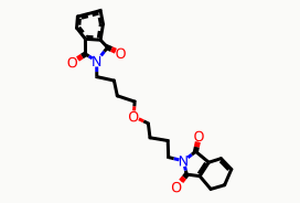 O=C1C2=C(CCC=C2)C(=O)N1CCCCOCCCCN1C(=O)c2ccccc2C1=O